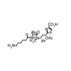 CC[C@H](C)C(NC(=O)CCCCCN)C(=O)N(C)[C@H](C[C@@H](OC(C)=O)c1nc(C(=O)O)cs1)C(C)C